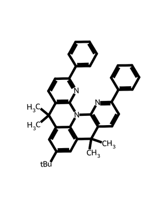 CC(C)(C)c1cc2c3c(c1)C(C)(C)c1ccc(-c4ccccc4)nc1N3c1nc(-c3ccccc3)ccc1C2(C)C